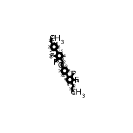 CCCc1ccc(-c2ccc(OCc3ccc(-c4ccc(CC)cc4)c(F)c3F)cc2)c(F)c1F